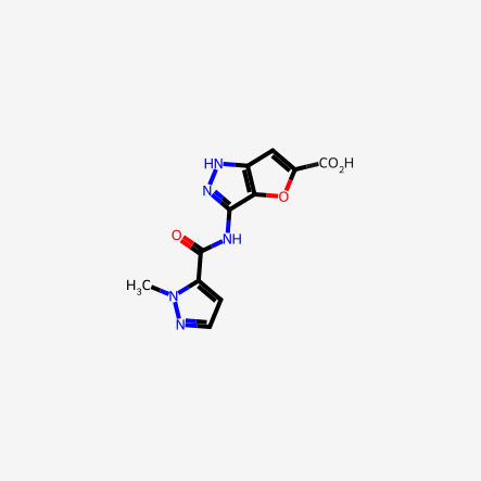 Cn1nccc1C(=O)Nc1n[nH]c2cc(C(=O)O)oc12